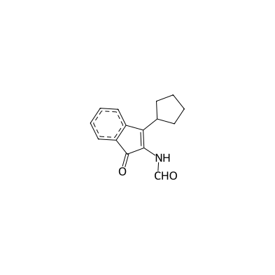 O=CNC1=C(C2CCCC2)c2ccccc2C1=O